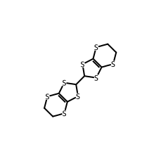 C1CSC2=C(S1)SC(C1SC3=C(SCCS3)S1)S2